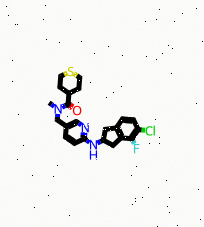 CN(Cc1ccc(NC2Cc3ccc(Cl)c(F)c3C2)nc1)C(=O)C1CCSCC1